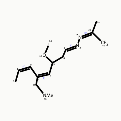 C/C=C\C(=C/C(C/C=N/N=C(/C)C(F)(F)F)OI)CNC